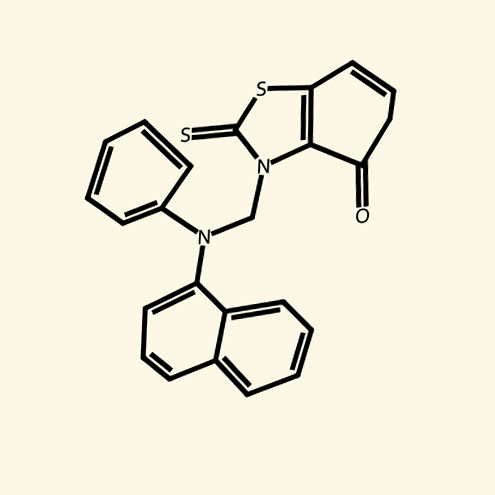 O=C1CC=Cc2sc(=S)n(CN(c3ccccc3)c3cccc4ccccc34)c21